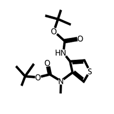 CN(C(=O)OC(C)(C)C)c1cscc1NC(=O)OC(C)(C)C